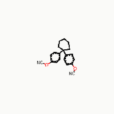 N#COc1ccc(C2(c3ccc(OC#N)cc3)CCCCC2)cc1